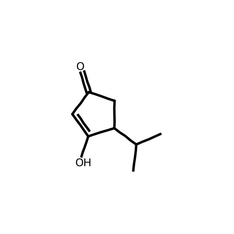 CC(C)C1CC(=O)C=C1O